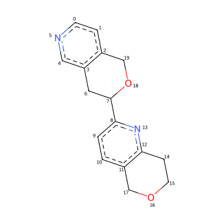 c1cc2c(cn1)CC(c1ccc3c(n1)CCOC3)OC2